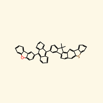 CC1(C)c2ccc(-c3c4ccccc4c(-c4ccc5oc6ccccc6c5c4)c4ccccc34)cc2-c2ccc3cc4sc5ccccc5c4cc3c21